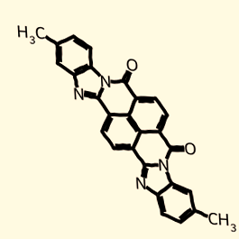 Cc1ccc2c(c1)nc1c3ccc4c5c(ccc(c(=O)n21)c35)c(=O)n1c2cc(C)ccc2nc41